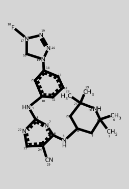 CC1(C)CC(Nc2nc(Nc3cccc(N4CN(F)N=N4)c3)ncc2C#N)CC(C)(C)N1